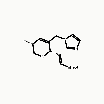 CCCCCCC/C=C/[C@@H]1OC[C@H](C)C=C1Cn1ccnc1